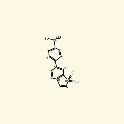 CCN(CC)c1ccc(-c2ccc3c(c2)S(=O)(=O)C=C3)cc1